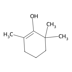 CC1=C(O)C(C)(C)CCC1